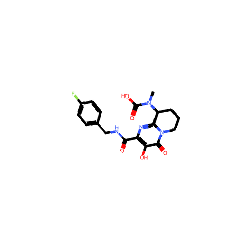 CN(C(=O)O)C1CCCn2c1nc(C(=O)NCc1ccc(F)cc1)c(O)c2=O